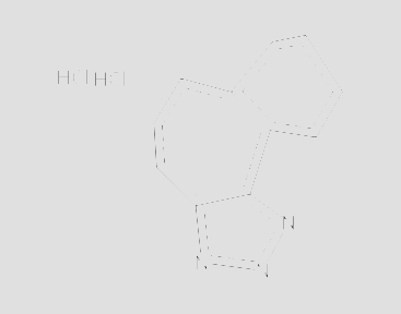 Cl.Cl.c1ccc2c3nnnc-3cccc2c1